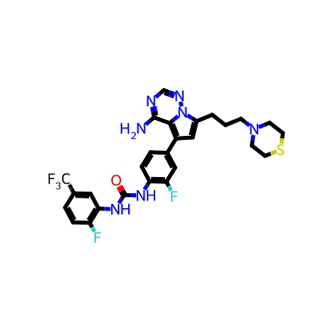 Nc1ncnn2c(CCCN3CCSCC3)cc(-c3ccc(NC(=O)Nc4cc(C(F)(F)F)ccc4F)c(F)c3)c12